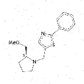 COC[C@@H]1CCCN1Cc1cnc(-c2ccccc2)s1